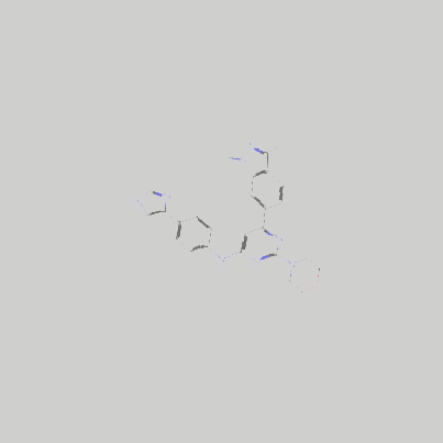 Cc1nn(C)c2cc(-c3cc(Nc4ccc(-c5c[nH]cn5)cc4)nc(N4CCOCC4)n3)ccc12